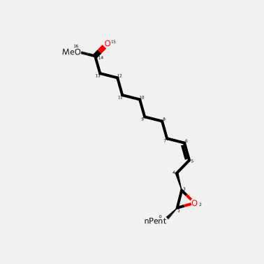 CCCCC[C@@H]1O[C@@H]1C/C=C\CCCCCCCC(=O)OC